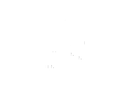 NC(=O)c1ccnn1-c1ccc(F)cc1F